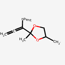 [CH2]C1COC(C)(C(=C=C)CCCCC)O1